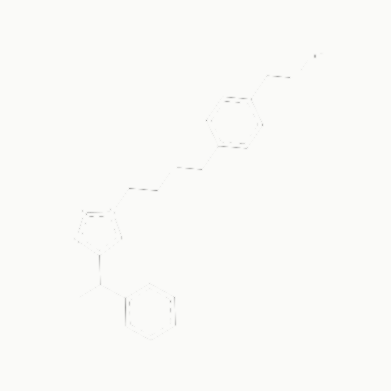 CCCOCc1ccc(COCCn2cc(C(c3ccccc3)C(C)C)nn2)cc1